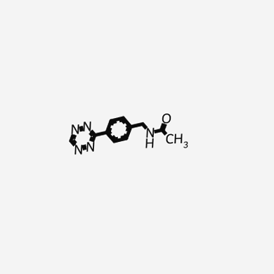 CC(=O)NCc1ccc(-c2nncnn2)cc1